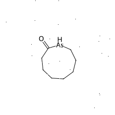 O=C1CCCCCCC[AsH]1